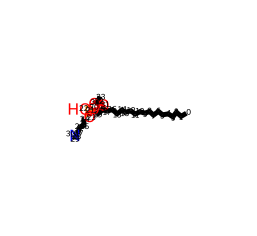 CCCCCCCCCCCCCCCCCCC(COP(O)OCCCCN(C)C)OC(C)=O